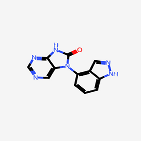 O=c1[nH]c2ncncc2n1-c1cccc2[nH]ncc12